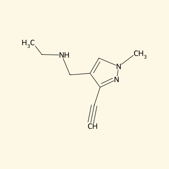 C#Cc1nn(C)cc1CNCC